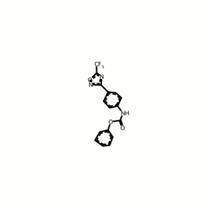 O=C(Nc1ccc(-c2noc(C(F)(F)F)n2)cc1)Oc1ccccc1